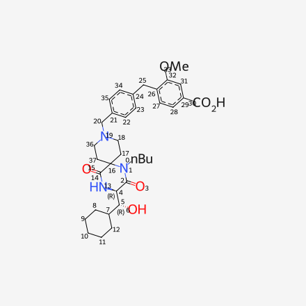 CCCCN1C(=O)[C@@H]([C@H](O)C2CCCCC2)NC(=O)C12CCN(Cc1ccc(Cc3ccc(C(=O)O)cc3OC)cc1)CC2